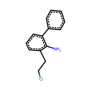 Nc1c(CCCl)cccc1-c1ccccc1